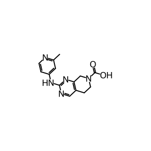 Cc1cc(Nc2ncc3c(n2)CN(C(=O)O)CC3)ccn1